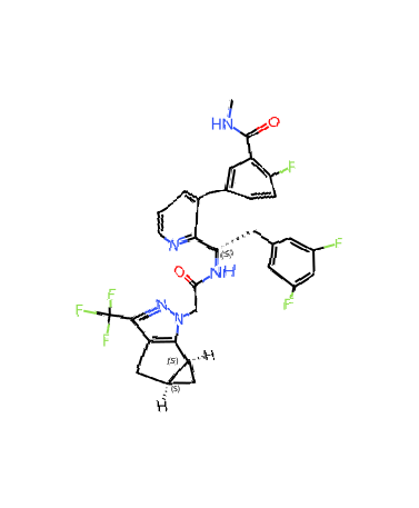 CNC(=O)c1cc(-c2cccnc2[C@H](Cc2cc(F)cc(F)c2)NC(=O)Cn2nc(C(F)(F)F)c3c2[C@H]2C[C@H]2C3)ccc1F